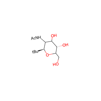 CC(=O)NC1C(O)[C@H](O)C(CO)O[C@H]1C(C)(C)C